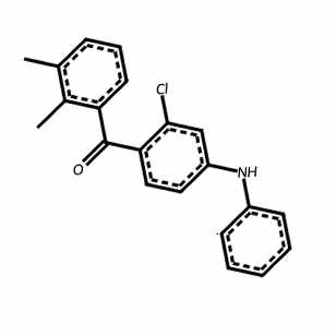 Cc1cccc(C(=O)c2ccc(Nc3[c]cccc3)cc2Cl)c1C